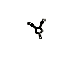 C#CC1CS(=O)OC1C#C